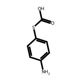 Nc1ccc(SC(=O)O)cc1